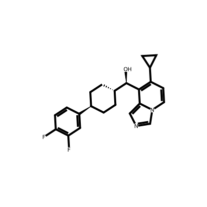 O[C@@H](c1c(C2CC2)ccn2cncc12)[C@H]1CC[C@H](c2ccc(F)c(F)c2)CC1